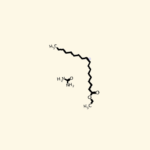 CCCCCCCC/C=C\CCCCCCCC(=O)OCC.NC(N)=O